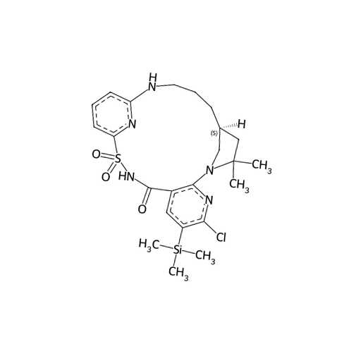 CC1(C)C[C@@H]2CCCNc3cccc(n3)S(=O)(=O)NC(=O)c3cc([Si](C)(C)C)c(Cl)nc3N1C2